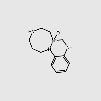 [O-][N+]12CCNCCCN1c1ccccc1NC2